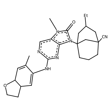 CCC1CC2(C#N)CCCC(n3c(=O)n(C)c4cnc(NC5=CC6CCOC6C=C5C)nc43)(C1)C2